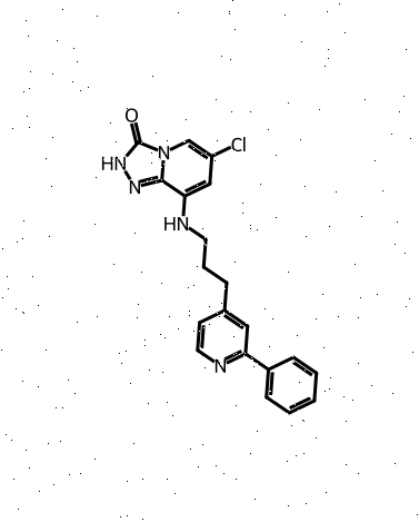 O=c1[nH]nc2c(NCCCc3ccnc(-c4ccccc4)c3)cc(Cl)cn12